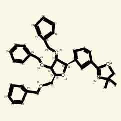 CC1(C)COC(c2cccc([C@H]3O[C@@H](COCc4ccccc4)C(OCc4ccccc4)C3OCc3ccccc3)c2)=N1